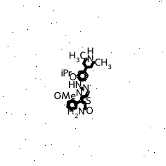 COc1ccccc1-c1c(C(N)=O)sc2cnc(Nc3ccc(C4CC(C)NC(C)C4)cc3OC(C)C)nc12